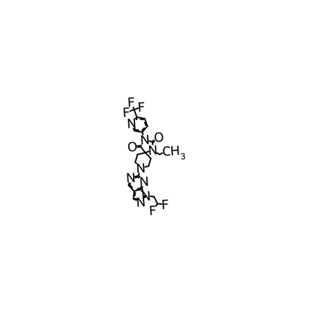 CCN1C(=O)N(c2ccc(C(F)(F)F)nc2)C(=O)C12CCN(c1ncc3cnn(CC(F)F)c3n1)CC2